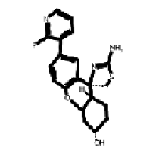 NC1=N[C@]2(CS1)c1cc(-c3cccnc3F)ccc1OC1C[C@@H](O)CC[C@H]12